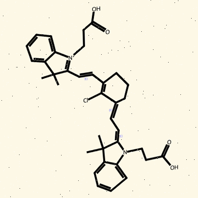 CC1(C)C(/C=C/C2=C(Cl)C(=C/C=C3/N(CCC(=O)O)c4ccccc4C3(C)C)/CCC2)=[N+](CCC(=O)O)c2ccccc21